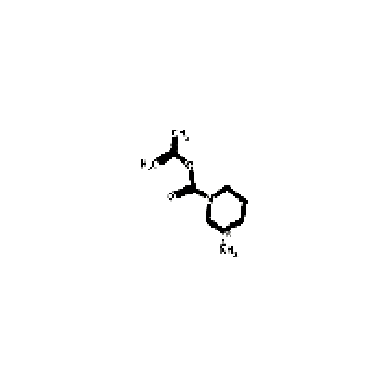 C=C(C)OC(=O)N1CCC[C@H](N)C1